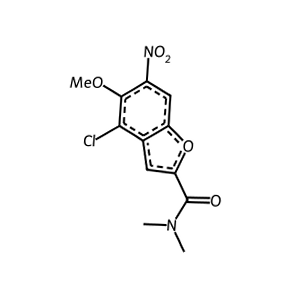 COc1c([N+](=O)[O-])cc2oc(C(=O)N(C)C)cc2c1Cl